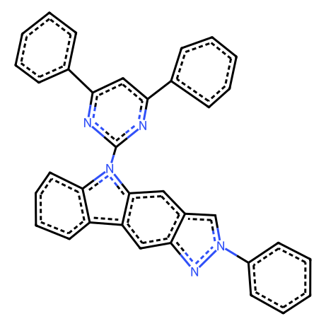 c1ccc(-c2cc(-c3ccccc3)nc(-n3c4ccccc4c4cc5nn(-c6ccccc6)cc5cc43)n2)cc1